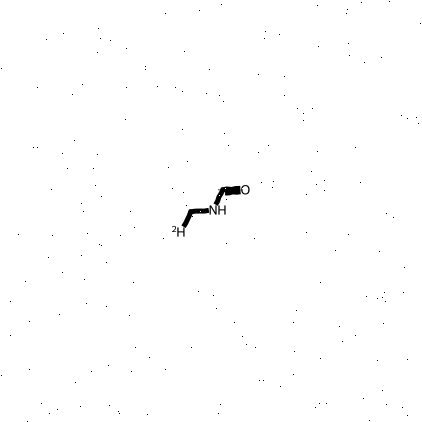 [2H]CN[C]=O